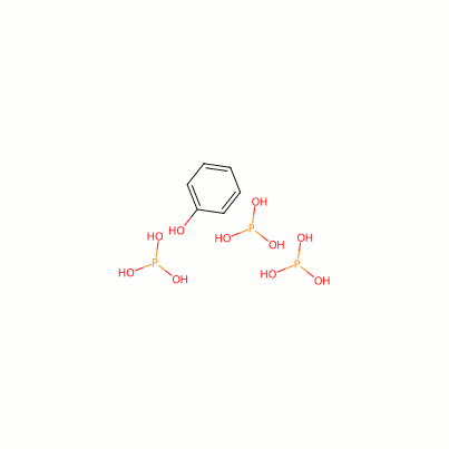 OP(O)O.OP(O)O.OP(O)O.Oc1ccccc1